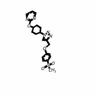 CS(=O)(=O)c1ccc(OCc2cn(C3CCC(Oc4ncccn4)CC3)nn2)cc1